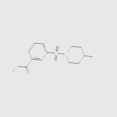 CC1CCN(S(=O)(=O)c2cccc(C(=O)NN)c2)CC1